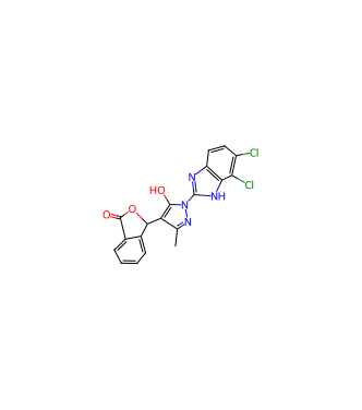 Cc1nn(-c2nc3ccc(Cl)c(Cl)c3[nH]2)c(O)c1C1OC(=O)c2ccccc21